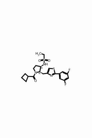 CCS(=O)(=O)N[C@@H]1CCN(C(=O)C2CCC2)[C@@H]1Cc1csc(-c2cc(F)cc(F)c2)n1